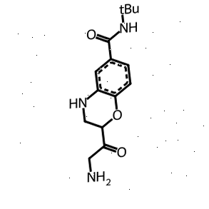 CC(C)(C)NC(=O)c1ccc2c(c1)NCC(C(=O)CN)O2